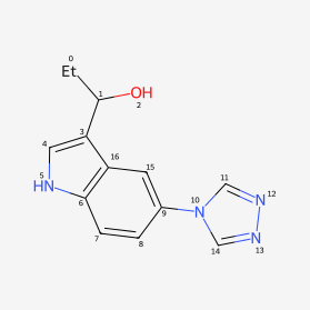 CCC(O)c1c[nH]c2ccc(-n3cnnc3)cc12